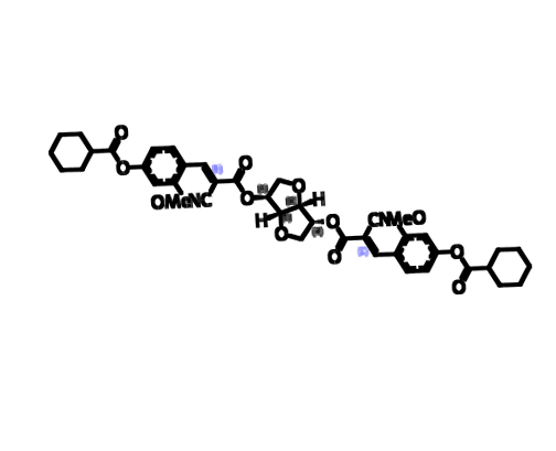 COc1cc(OC(=O)C2CCCCC2)ccc1/C=C(\C#N)C(=O)O[C@H]1CO[C@H]2[C@@H]1OC[C@H]2OC(=O)/C(C#N)=C/c1ccc(OC(=O)C2CCCCC2)cc1OC